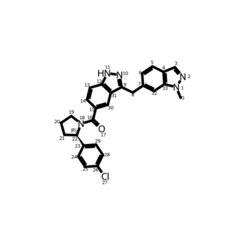 Cn1ncc2ccc(Cc3n[nH]c4ccc(C(=O)N5CCC[C@@H]5c5ccc(Cl)cc5)cc34)cc21